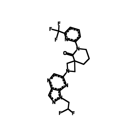 O=C1N(c2cccc(C(F)(F)F)n2)CCCC12CN(c1cnc3cnn(CC(F)F)c3n1)C2